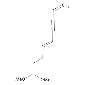 C=CC#C/C=C/CCC(OC)OC